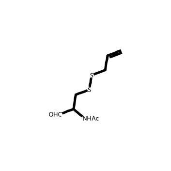 C=CCSSCC(C=O)NC(C)=O